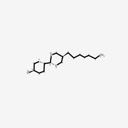 CCCCCCC[C@H]1CO[C@H]([C@H]2CC[C@H](Cl)CC2)OC1